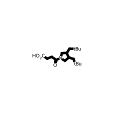 CC(C)(C)CC1CN(C(=O)CCC(=O)O)CC1CC(C)(C)C